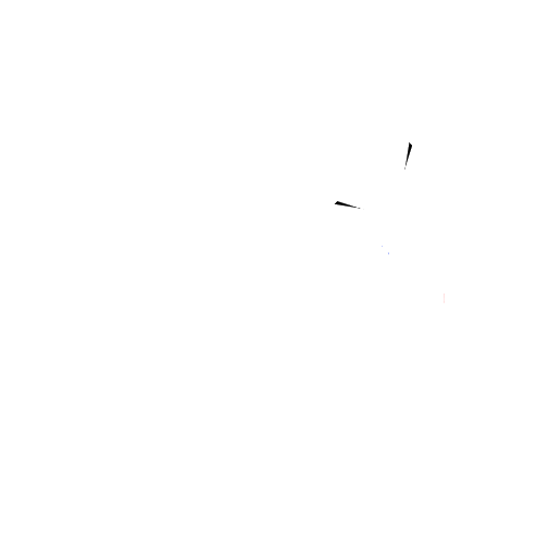 O=C(O)N[C@@H](Cc1ccc(OCc2ccccc2)cc1)[C@H]1CO1